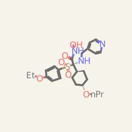 CCCO[C@H]1CC[C@H]([C@](NCc2ccncc2)(C(=O)NO)S(=O)(=O)c2ccc(OCC)cc2)CC1